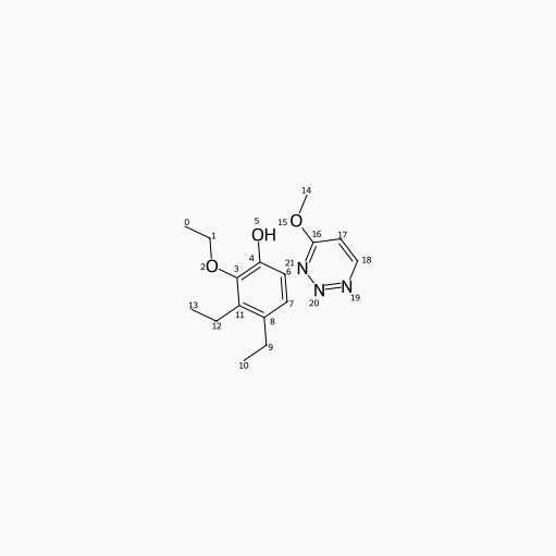 CCOc1c(O)ccc(CC)c1CC.COc1ccnnn1